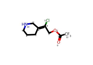 O=C(OC/C(Cl)=C1\CCCNC1)C(F)(F)F